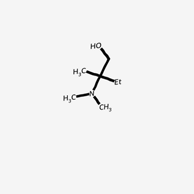 CCC(C)(CO)N(C)C